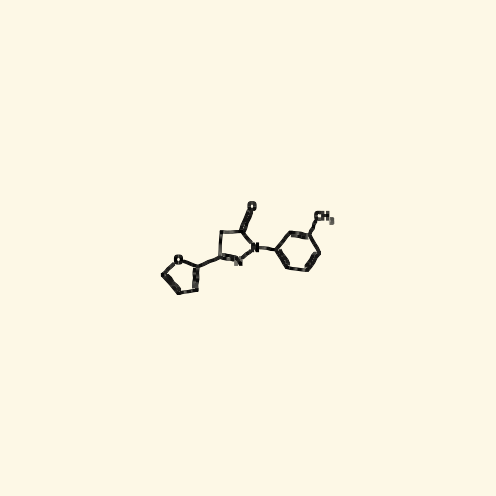 Cc1cccc(N2N=C(c3ccco3)CC2=O)c1